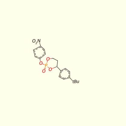 CC(C)(C)c1ccc(C2CCOP(=O)(Oc3ccc([N+](=O)[O-])cc3)O2)cc1